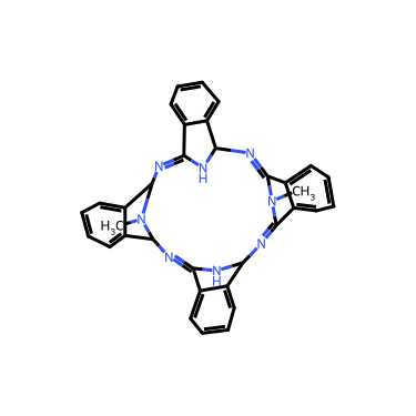 CN1C2/N=C3\NC(/N=c4/c5ccccc5/c(n4C)=N/C4N/C(=N\C1c1ccccc12)c1ccccc14)c1ccccc13